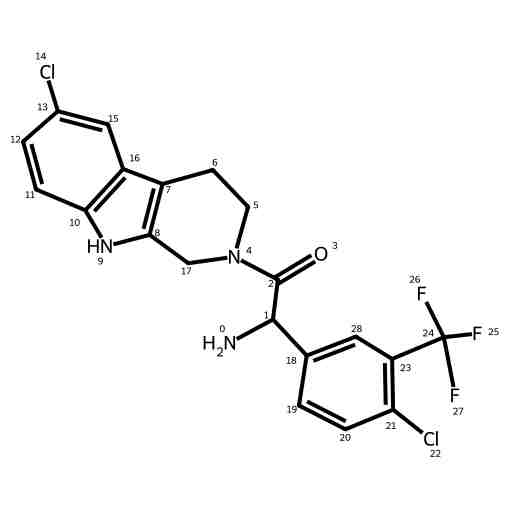 NC(C(=O)N1CCc2c([nH]c3ccc(Cl)cc23)C1)c1ccc(Cl)c(C(F)(F)F)c1